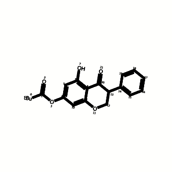 CC(C)(C)C(=O)Oc1cc(O)c2c(c1)OCC(c1ccccc1)C2=O